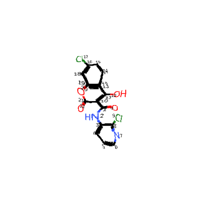 O=C(Nc1cccnc1Cl)c1c(O)c2ccc(Cl)cc2oc1=O